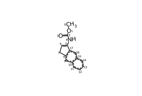 COC(=O)NC1=CCc2cc3ccccc3cc21